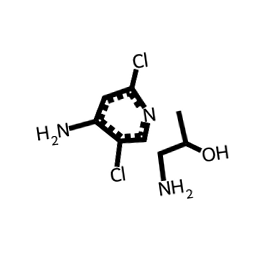 CC(O)CN.Nc1cc(Cl)ncc1Cl